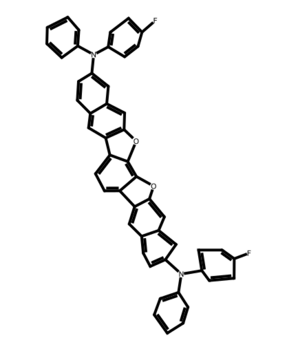 Fc1ccc(N(c2ccccc2)c2ccc3cc4c(cc3c2)oc2c4ccc3c4cc5ccc(N(c6ccccc6)c6ccc(F)cc6)cc5cc4oc32)cc1